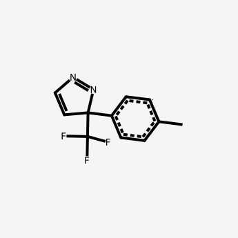 Cc1[c]cc(C2(C(F)(F)F)C=CN=N2)cc1